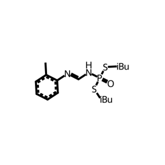 CCC(C)SP(=O)(NC=Nc1ccccc1C)SC(C)CC